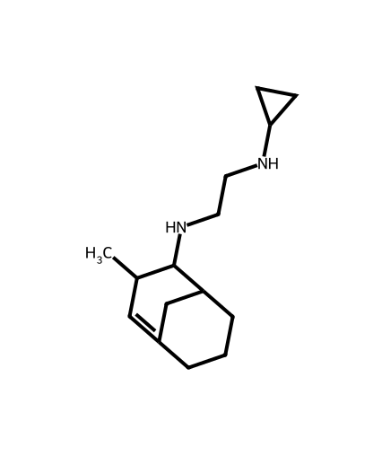 CC1C=C2CCCC(C2)C1NCCNC1CC1